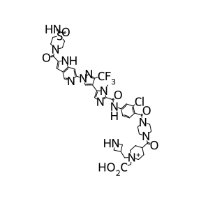 Cn1c(-c2cn(-c3cc4[nH]c(C(=O)N5CCS(=N)(=O)CC5)cc4cn3)nc2C(F)(F)F)cnc1C(=O)Nc1ccc(C(=O)N2CCN(C(=O)C3CC[N+](CC(=O)O)(CC4CNC4)CC3)CC2)c(Cl)c1